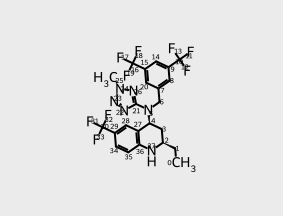 CC[C@@H]1C[C@H](N(Cc2cc(C(F)(F)F)cc(C(F)(F)F)c2)c2nnn(C)n2)c2cc(C(F)(F)F)ccc2N1